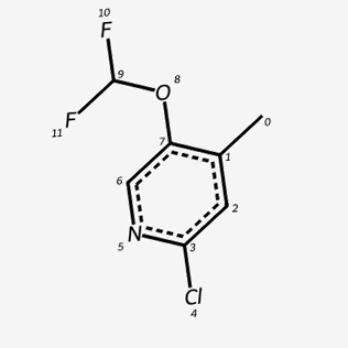 Cc1cc(Cl)ncc1OC(F)F